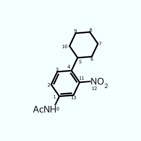 CC(=O)Nc1ccc(C2CCCCC2)c([N+](=O)[O-])c1